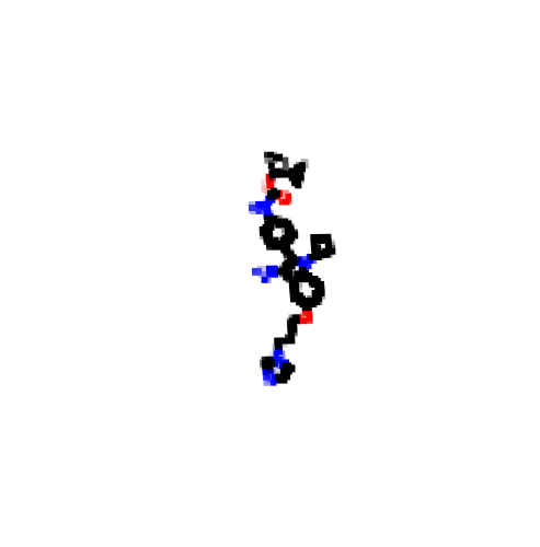 C[C@@H](OC(=O)Nc1ccc(-c2c(N)c3cc(OCCCn4ccnc4)ccc3n2C2CCC2)cc1)C1CC1